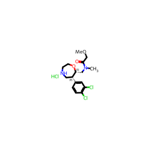 COCC(=O)N(C)C[C@H]1OCCNC[C@H]1c1ccc(Cl)c(Cl)c1.Cl